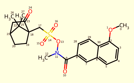 COc1cccc2cc(C(=O)N(C)OS(=O)(=O)CC34CCC(CC3=O)C4(C)C)ccc12